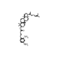 CC(C)=CCCC(C)C1CCC2(C)C3CCC4C(C)(C)C(OC(=O)CCCc5ccc(N)cc5N)CCC4(C)C3CCC12C